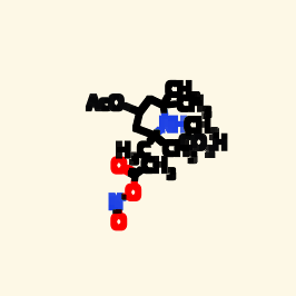 CC(=O)O.CC(=O)OC1CC(C)(C)NC(C)(C)C1.CC(=O)ON=O